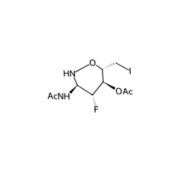 CC(=O)N[C@H]1NO[C@H](CI)[C@@H](OC(C)=O)[C@@H]1F